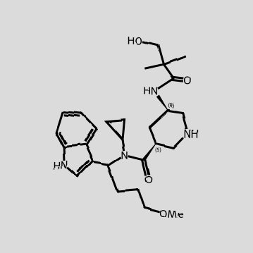 COCCCC(c1c[nH]c2ccccc12)N(C(=O)[C@@H]1CNC[C@H](NC(=O)C(C)(C)CO)C1)C1CC1